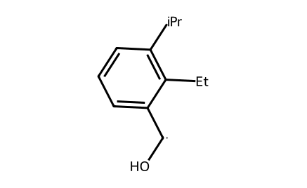 CCc1c([CH]O)cccc1C(C)C